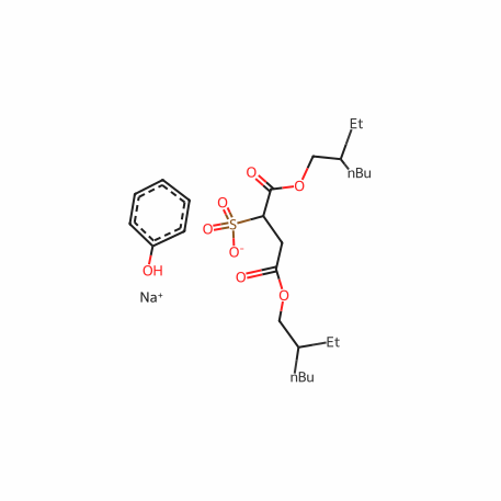 CCCCC(CC)COC(=O)CC(C(=O)OCC(CC)CCCC)S(=O)(=O)[O-].Oc1ccccc1.[Na+]